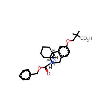 CC(C)(COc1ccc2c(c1)[C@@]13CCCC[C@H]1[C@@H](C2)N(C(=O)OCc1ccccc1)CC3)C(=O)O